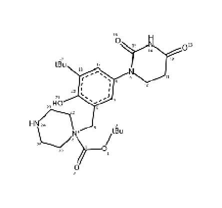 CC(C)(C)OC(=O)[N+]1(Cc2cc(N3CCC(=O)NC3=O)cc(C(C)(C)C)c2O)CCNCC1